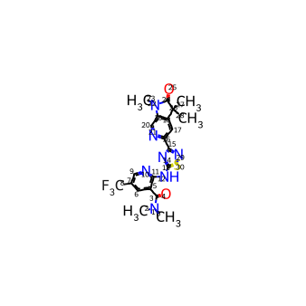 CN(C)C(=O)c1cc(C(F)(F)F)cnc1Nc1nc(-c2cc3c(cn2)N(C)C(=O)C3(C)C)ns1